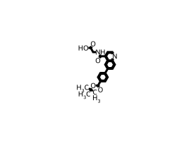 CC(C)(C)OC(=O)c1ccc(-c2ccc3nccc(C(=O)NCC(=O)O)c3c2)cc1